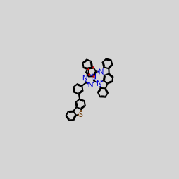 c1ccc(-c2nc(-c3cccc(-c4ccc5sc6ccccc6c5c4)c3)nc(-n3c4ccccc4c4ccc5c6ccccc6n(-c6ccccc6)c5c43)n2)cc1